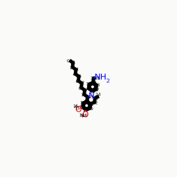 CCCCCCCCCCCC1c2cc(OC)c(OC)cc2CC(C)N1c1ccc(CN)cc1